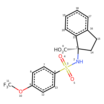 O=C(O)[C@@]1(NS(=O)(=O)c2ccc(OC(F)(F)F)cc2)CCc2ccccc21